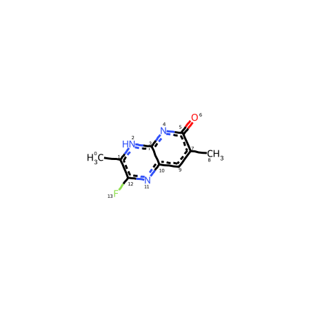 Cc1[nH]c2nc(=O)c(C)cc-2nc1F